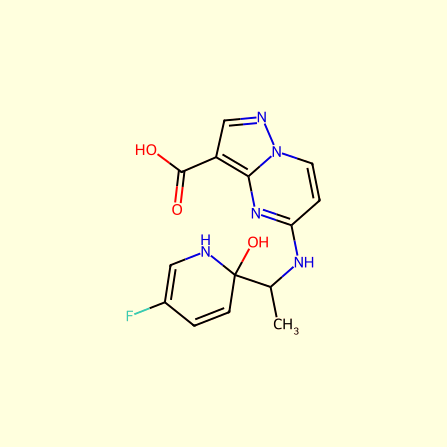 CC(Nc1ccn2ncc(C(=O)O)c2n1)C1(O)C=CC(F)=CN1